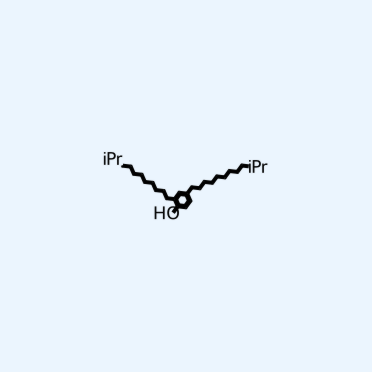 CC(C)CCCCCCCCCc1ccc(O)c(CCCCCCCCCC(C)C)c1